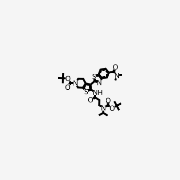 CC(C)N(CCC(=O)Nc1sc2c(c1-c1nc3cc(C(=O)N(C)C)ccc3s1)CCN(C(=O)OC(C)(C)C)C2)C(=O)OC(C)(C)C